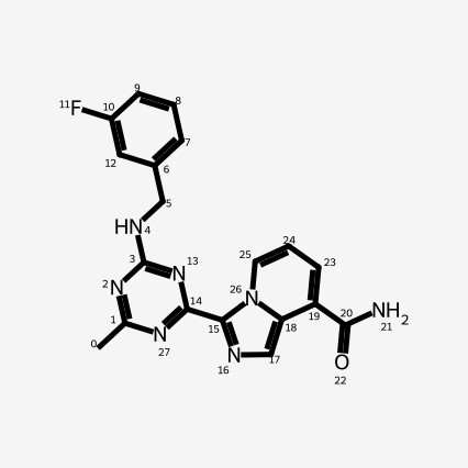 Cc1nc(NCc2cccc(F)c2)nc(-c2ncc3c(C(N)=O)cccn23)n1